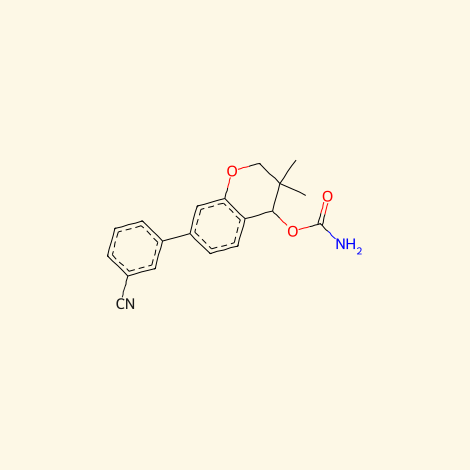 CC1(C)COc2cc(-c3cccc(C#N)c3)ccc2C1OC(N)=O